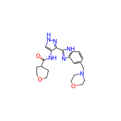 O=C(Nc1c[nH]nc1-c1nc2cc(CN3CCOCC3)ccc2[nH]1)C1CCOCC1